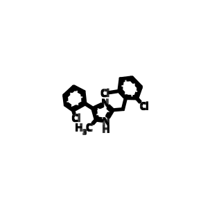 Cc1[nH]c(Cc2c(Cl)cccc2Cl)nc1-c1ccccc1Cl